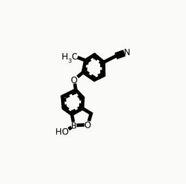 Cc1cc(C#N)ccc1Oc1ccc2c(c1)COB2O